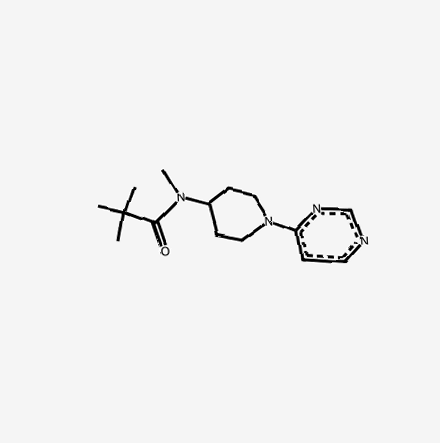 CN(C(=O)C(C)(C)C)C1CCN(c2ccncn2)CC1